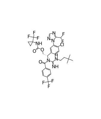 CC(C)(C)CCNC(=N)N(C(=O)c1ccc(C(F)(F)F)cc1)[C@H](COC(=O)NC1(C(F)(F)F)CC1)c1ccc(Cl)c(-n2ncnc2C(F)F)c1